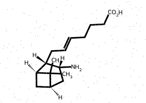 CC1(C)[C@H]2C[C@@H](N)[C@@H](CC=CCCCC(=O)O)[C@@H]1C2